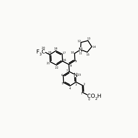 O=C(O)/C=C/c1cccc(/C(=C/CN2CCCC2)c2ccc(C(F)(F)F)cc2)n1